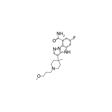 COCCCN1CCC(C)(c2cnn3c2[nH]c2cc(F)cc(C(N)=O)c23)CC1